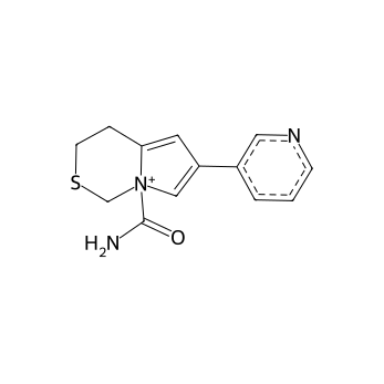 NC(=O)[N+]12C=C(c3cccnc3)C=C1CCSC2